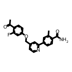 CC(=O)c1ccc(OCc2ccnc(-c3ccc(C(N)=O)c(C)c3)c2)cc1F